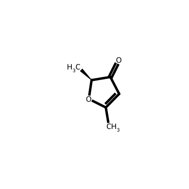 CC1=CC(=O)[C@H](C)O1